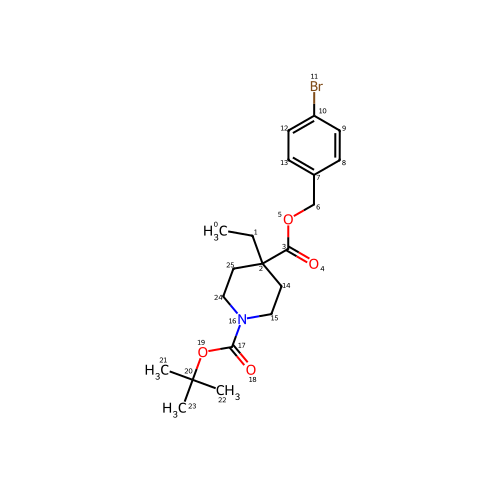 CCC1(C(=O)OCc2ccc(Br)cc2)CCN(C(=O)OC(C)(C)C)CC1